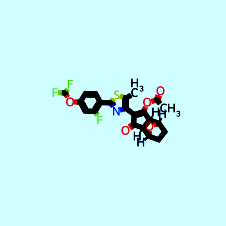 CC(=O)OC1=C(c2nc(-c3ccc(OC(F)F)cc3F)sc2C)C(=O)[C@H]2[C@@H]1[C@@H]1CC[C@H]2O1